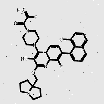 C=C(F)C(=O)N1CCN(C2=C(C#N)C(OCC34CCCN3CCC4)=NC3C(F)=C(c4cccc5cccc(Cl)c45)C=CC23)CC1